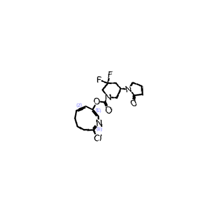 O=C(OC1=C/N=C(/Cl)CCC/C=C\1)N1CC(N2CCCC2=O)CC(F)(F)C1